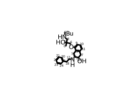 CC(O)(CNC(C)(C)C)COc1cccc2c1CC(NCCc1ccccc1)C(O)C2